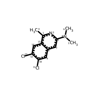 Cc1nc(N(C)C)cc2cc(Cl)c(Cl)cc12